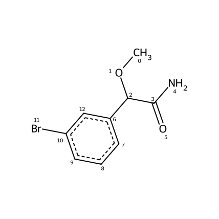 COC(C(N)=O)c1cccc(Br)c1